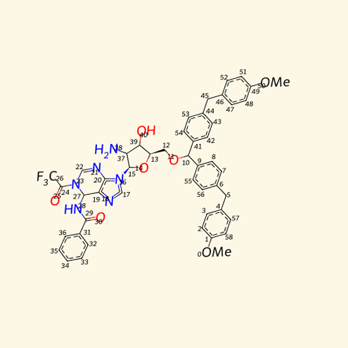 COc1ccc(Cc2ccc(C(OC[C@H]3O[C@@H](n4cnc5c4N=CN(C(=O)C(F)(F)F)C5NC(=O)c4ccccc4)C(N)C3O)c3ccc(Cc4ccc(OC)cc4)cc3)cc2)cc1